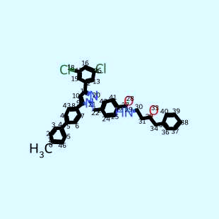 Cc1ccc(-c2ccc(-c3cc(-c4cc(Cl)cc(Cl)c4)nn3Cc3ccc(C(=O)NCCC(=O)Cc4ccccc4)cc3)cc2)cc1